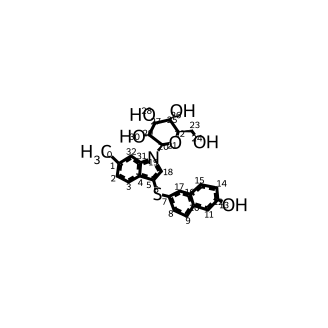 Cc1ccc2c(Sc3ccc4cc(O)ccc4c3)cn([C@@H]3O[C@H](CO)[C@@H](O)[C@H](O)[C@H]3O)c2c1